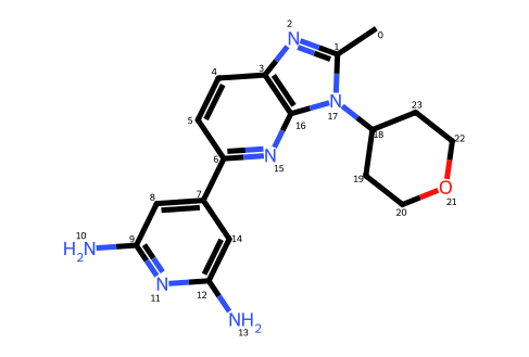 Cc1nc2ccc(-c3cc(N)nc(N)c3)nc2n1C1CCOCC1